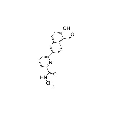 CNC(=O)c1cccc(-c2ccc3c(C=O)c(O)ccc3c2)n1